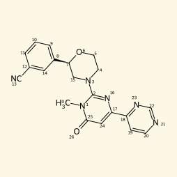 Cn1c(N2CCO[C@H](c3cccc(C#N)c3)C2)nc(-c2ccncn2)cc1=O